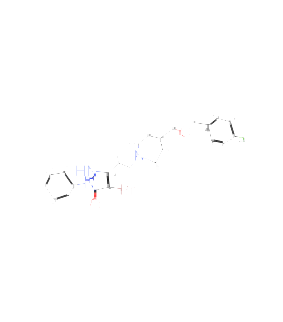 O=c1c(Br)c(CCN2CCC(COCc3ccc(F)cc3)CC2)[nH]n1-c1ccccc1